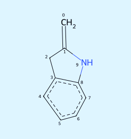 C=C1Cc2ccccc2N1